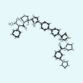 CN(C)[C@@H](C(=O)N1CCC[C@]1(I)c1ncc(-c2ccc(-c3ccc(-c4cnc([C@@H]5CCCN5C(=O)c5cccc(N6CCCC6)c5)[nH]4)cc3)cc2)[nH]1)c1ccccc1